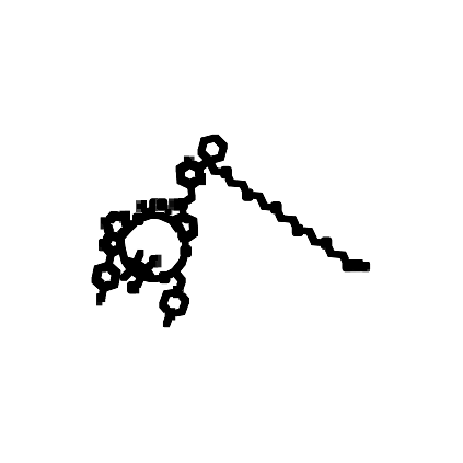 COCCOCCOCCOCCOCCOCC1(c2nccc(COc3ccc4cc3C[C@H](C(=O)O)Oc3ncnc5sc(-c6ccc(F)cc6)c(c35)-c3c(C)c(Cl)c(c(Cl)c3C)OC(CN3CCN(C)CC3)CO4)n2)CCCCC1